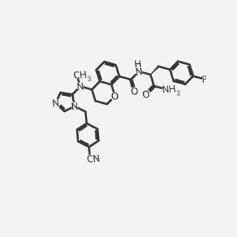 CN(c1cncn1Cc1ccc(C#N)cc1)C1CCOc2c(C(=O)N[C@@H](Cc3ccc(F)cc3)C(N)=O)cccc21